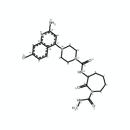 CNC(=O)N1CCCCC(NC(=O)N2CCN(c3cc(N)nc4cc(Cl)ccc34)CC2)C1=O